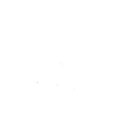 CC(=O)C1C(=O)N(Cc2ccc(F)cc2)c2cccnc2N1Cl